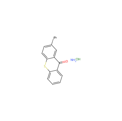 CC(C)c1ccc2sc3ccccc3c(=O)c2c1.Cl.N